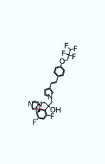 OC(Cn1ccc(/C=C/c2ccc(OCC(F)(F)C(F)F)cc2)c1)(Cn1cncn1)c1ccc(F)cc1F